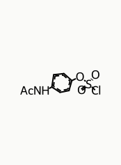 CC(=O)Nc1ccc(OS(=O)(=O)Cl)cc1